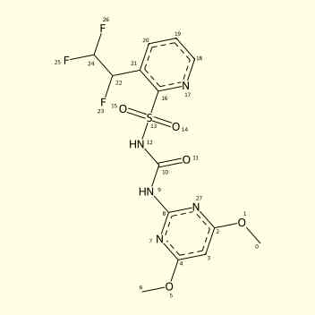 COc1cc(OC)nc(NC(=O)NS(=O)(=O)c2ncccc2C(F)C(F)F)n1